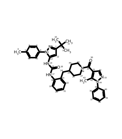 Cc1ccc(-n2nc(C(C)(C)C)cc2NC(=O)Nc2ccccc2CC2CCN(C(=O)c3cnn(-c4ccccc4)c3C)CC2)cc1